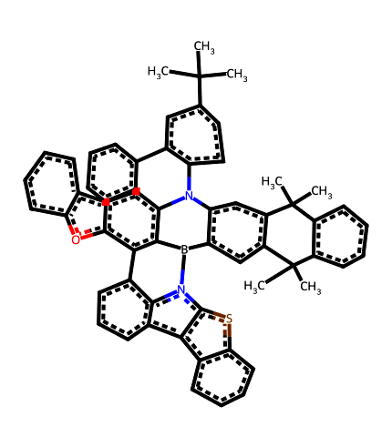 CC(C)(C)c1ccc(N2c3cc4c(cc3B3c5c2cc2c(oc6ccccc62)c5-c2cccc5c6c7ccccc7sc6n3c25)C(C)(C)c2ccccc2C4(C)C)c(-c2ccccc2)c1